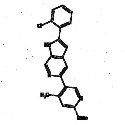 COc1cc(C)c(-c2cc3cc(-c4ccccc4Cl)[nH]c3cn2)cn1